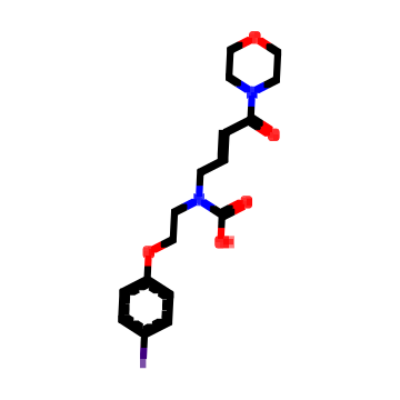 O=C(O)N(C/C=C/C(=O)N1CCOCC1)CCOc1ccc(I)cc1